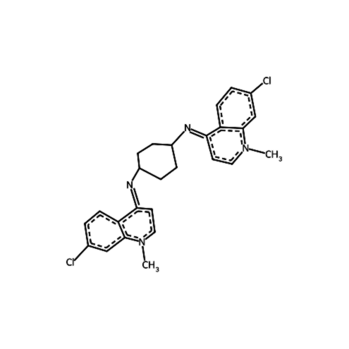 Cn1ccc(=NC2CCC(N=c3ccn(C)c4cc(Cl)ccc34)CC2)c2ccc(Cl)cc21